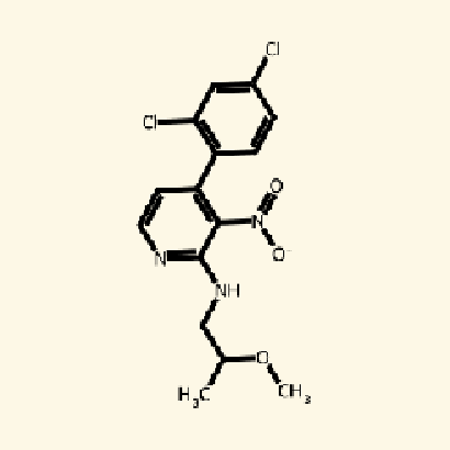 COC(C)CNc1nccc(-c2ccc(Cl)cc2Cl)c1[N+](=O)[O-]